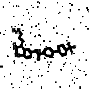 NCCCN(c1cc(NC(=O)c2ccc(-c3ccc(C(F)(F)F)cc3)cc2)ccc1O)[SH](=O)=O